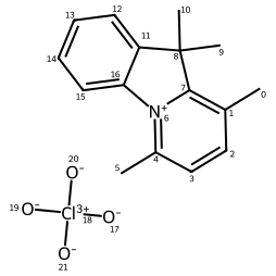 Cc1ccc(C)[n+]2c1C(C)(C)c1ccccc1-2.[O-][Cl+3]([O-])([O-])[O-]